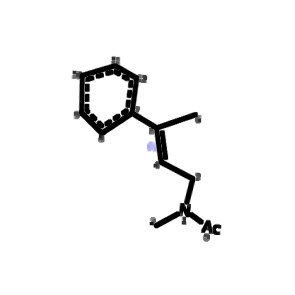 CC(=O)N(C)C/C=C(\C)c1ccccc1